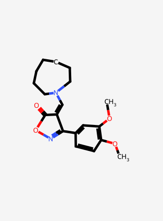 COc1ccc(C2=NOC(=O)C2=CN2CCCCCCC2)cc1OC